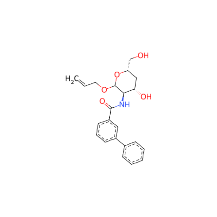 C=CCOC1O[C@H](CO)C[C@H](O)[C@H]1NC(=O)c1cccc(-c2ccccc2)c1